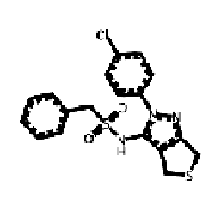 O=S(=O)(Cc1ccccc1)Nc1c2c(nn1-c1ccc(Cl)cc1)CSC2